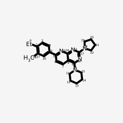 CCc1ccc(-c2ccc3c(N4CCCCC4)nc(N4CCCC4)nc3n2)cc1C